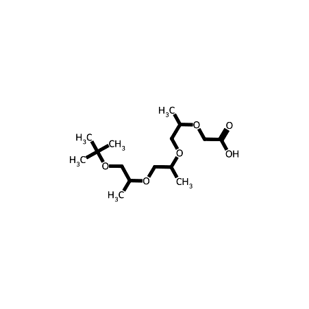 CC(COC(C)COC(C)COC(C)(C)C)OCC(=O)O